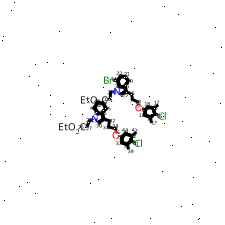 CCOC(=O)CCn1cc(CCCOc2cc(C)c(Cl)c(C)c2)c2cccc(Br)c21.CCOC(=O)CCn1cc(CCCOc2cc(C)c(Cl)c(C)c2)c2ccccc21